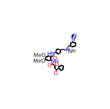 CCCN(CCc1ccc(NC(=O)c2cc(OC)c(OC)cc2NC(=O)c2cc(=O)c3ccccc3o2)cc1)Cc1cccc(-n2ccnc2)c1